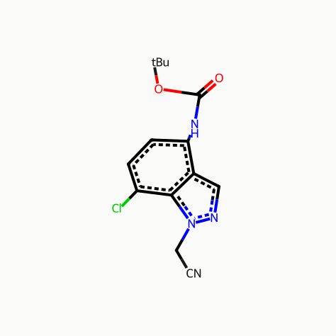 CC(C)(C)OC(=O)Nc1ccc(Cl)c2c1cnn2CC#N